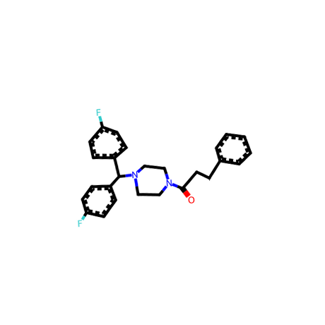 O=C(C[CH]c1ccccc1)N1CCN(C(c2ccc(F)cc2)c2ccc(F)cc2)CC1